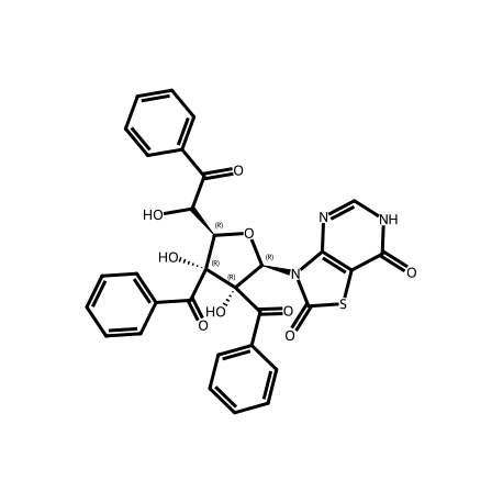 O=C(c1ccccc1)C(O)[C@H]1O[C@@H](n2c(=O)sc3c(=O)[nH]cnc32)[C@@](O)(C(=O)c2ccccc2)[C@@]1(O)C(=O)c1ccccc1